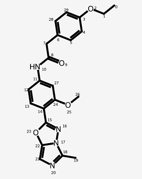 CCOc1ccc(CC(=O)Nc2ccc(-c3nn4c(C)ncc4o3)c(OC)c2)cc1